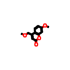 COCc1cc(=O)oc2cc(OC)ccc12